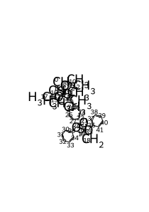 C=C[Si](OC(C)(C)C)(OC(C)(C)C)OC(C)(C)C.C=C[Si](Oc1ccccc1)(Oc1ccccc1)Oc1ccccc1